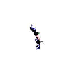 Cc1cc2cc(-c3ccc(OCC(=O)Nc4ccc(CN5CCN(C)CC5)c(C(F)(F)F)c4)c(F)c3)cnc2[nH]1